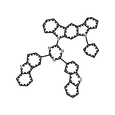 c1ccc(-n2c3ccccc3c3cc4c5ccccc5n(-c5nc(-c6ccc7sc8ccccc8c7c6)nc(-c6ccc7sc8ccccc8c7c6)n5)c4cc32)cc1